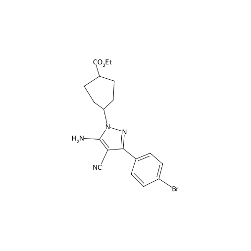 CCOC(=O)C1CCC(n2nc(-c3ccc(Br)cc3)c(C#N)c2N)CC1